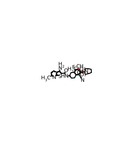 Cc1ccc2c(N)c(C(=O)N[C@@H]3CCc4c(C#N)c(N5CC6CCC(C5)N6C(=O)OC(C)(C)C)cc(F)c4C3)sc2n1